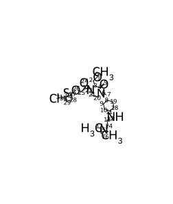 COC[C@H]1C(=O)N(C[C@H]2CC[C@H](NCCN(C)C)CC2)CCN1C(=O)COc1ccc(Cl)s1